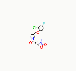 O=C1N[C@]2(CO1)C[C@@H](C(=O)N1CCC(COc3ccc(F)cc3Cl)C1)C2